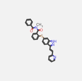 CN(C(=O)c1ccccc1)C(=O)c1ccccc1Sc1ccc2c(/C=C/c3ccccn3)n[nH]c2c1